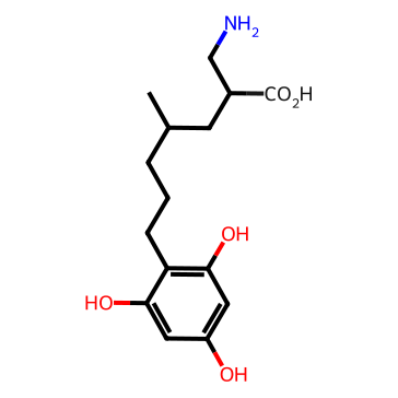 CC(CCCc1c(O)cc(O)cc1O)CC(CN)C(=O)O